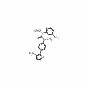 CON(C(=O)N(C)c1ccc(-c2[nH]ccc2N)cc1)c1cc(C(F)(F)F)ccn1